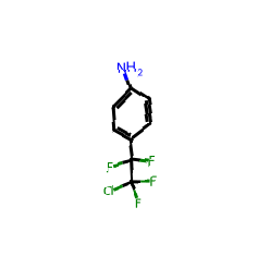 Nc1ccc(C(F)(F)C(F)(F)Cl)cc1